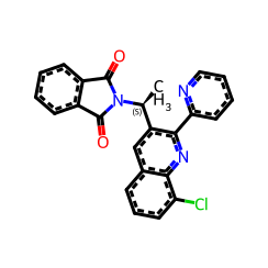 C[C@@H](c1cc2cccc(Cl)c2nc1-c1ccccn1)N1C(=O)c2ccccc2C1=O